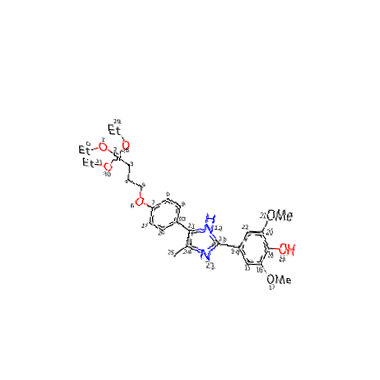 CCO[Si](CCCOc1ccc(-c2[nH]c(-c3cc(OC)c(O)c(OC)c3)nc2C)cc1)(OCC)OCC